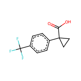 O=C(O)C1(c2ccc(C(F)(F)F)cc2)CC1